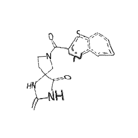 C=C1NC(=O)C2(CCN(C(=O)c3nc4ccccc4s3)C2)N1